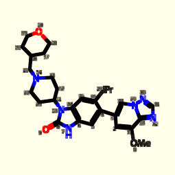 COc1cc(-c2cc3[nH]c(=O)n(C4CCN(CC5CCOCC5)CC4)c3cc2C(C)C)cn2ncnc12